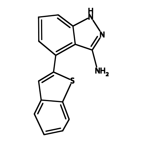 Nc1n[nH]c2cccc(-c3cc4ccccc4s3)c12